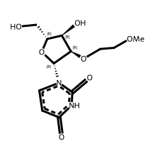 COCCO[C@@H]1[C@H](O)[C@@H](CO)O[C@H]1n1ccc(=O)[nH]c1=O